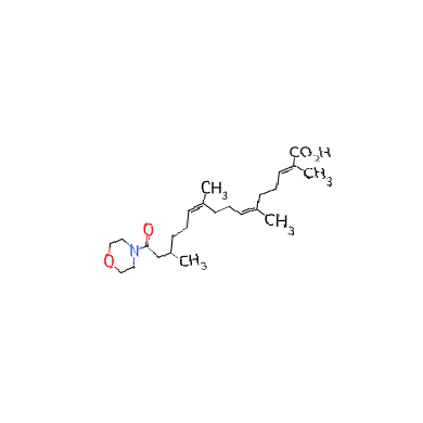 CC(=CCCC(C)=CCCC(C)CC(=O)N1CCOCC1)CCC=C(C)C(=O)O